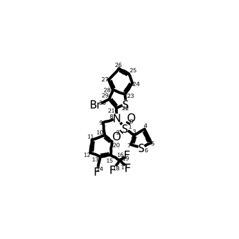 O=S(=O)(c1ccsc1)N(Cc1ccc(F)c(C(F)(F)F)c1)c1sc2ccccc2c1Br